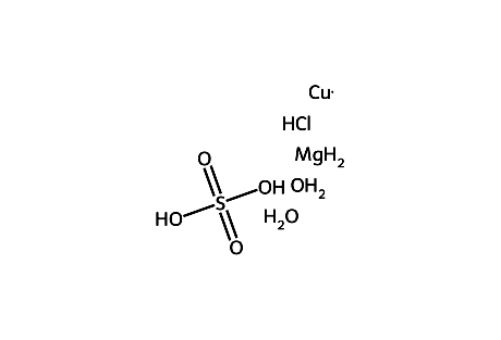 Cl.O.O.O=S(=O)(O)O.[Cu].[MgH2]